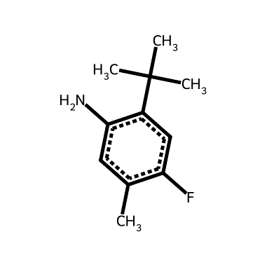 Cc1cc(N)c(C(C)(C)C)cc1F